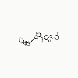 Fc1cccc(COc2ccc(Nc3ncnc4sc(C#C[C@H]5CC[C@H](CN6CCOCC6)N5)cc34)cc2Cl)c1